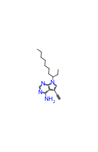 C#Cc1cn(C(CC)CCCCCCC)c2ncnc(N)c12